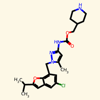 Cc1cc(NC(=O)OCC2CCNCC2)nn1Cc1cc(Cl)cc2cc(C(C)C)oc12